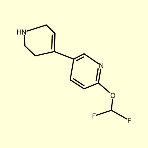 FC(F)Oc1ccc(C2=CCNCC2)cn1